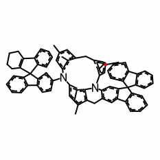 Cc1cc2c(C)c(c1)N(c1ccc3c(c1)C1(C4=C(CCCC4)c4ccccc41)c1ccccc1-3)c1cc(C)c3c(c1C)N(c1cc4c(cc1C3)-c1ccccc1C41c3ccccc3-c3ccccc31)c1cc(C)cc(c1C)C2